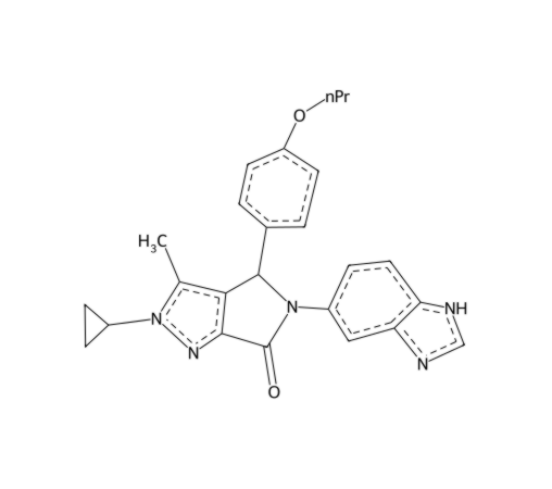 CCCOc1ccc(C2c3c(nn(C4CC4)c3C)C(=O)N2c2ccc3[nH]cnc3c2)cc1